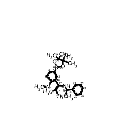 C=Nc1ccc(B2OC(C)(C)C(C)(C)O2)cc1/C(NC(C)c1ccccc1)=C(\C)C#N